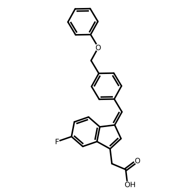 O=C(O)CC1=C/C(=C/c2ccc(COc3ccccc3)cc2)c2ccc(F)cc21